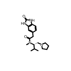 CC(C)[C@@H](CN1CCCC1)N(C)C(=O)Cc1ccc2[nH]c(=O)[nH]c2c1